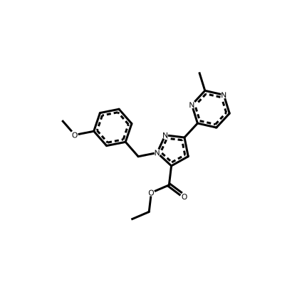 CCOC(=O)c1cc(-c2ccnc(C)n2)nn1Cc1cccc(OC)c1